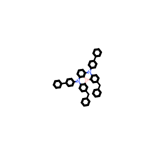 c1ccc(Cc2ccc3c(c2)B2c4cc(Cc5ccccc5)ccc4N(c4ccc(-c5ccccc5)cc4)c4cccc(c42)N3c2ccc(-c3ccccc3)cc2)cc1